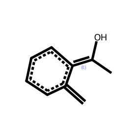 C=c1cccc/c1=C(/C)O